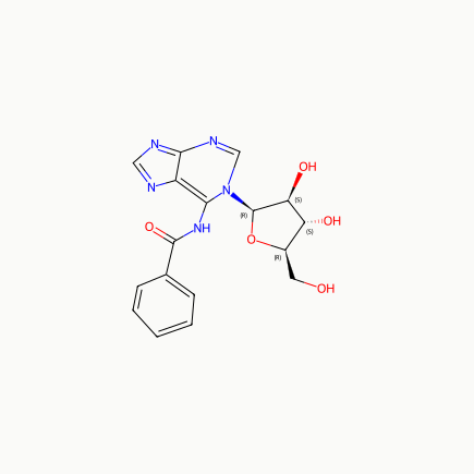 O=C(Nc1c2ncnc-2ncn1[C@@H]1O[C@H](CO)[C@@H](O)[C@@H]1O)c1ccccc1